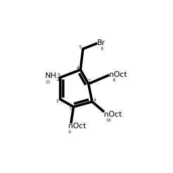 CCCCCCCCc1ccc(CBr)c(CCCCCCCC)c1CCCCCCCC.N